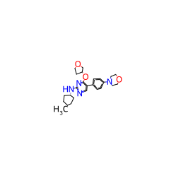 C[C@H]1CC[C@H](Nc2ncc(-c3ccc(N4CCOCC4)cc3)c(O[C@@H]3CCOC3)n2)CC1